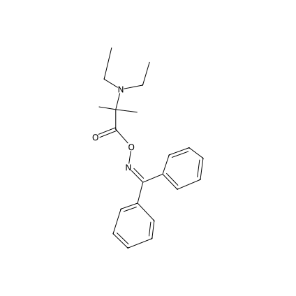 CCN(CC)C(C)(C)C(=O)ON=C(c1ccccc1)c1ccccc1